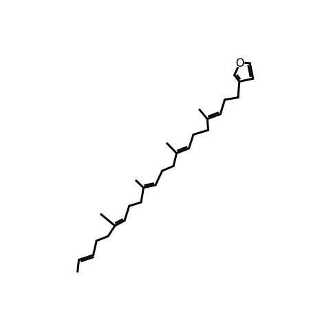 C/C=C/CC/C(C)=C/CC/C(C)=C/CC/C(C)=C/CC/C(C)=C/CCc1ccoc1